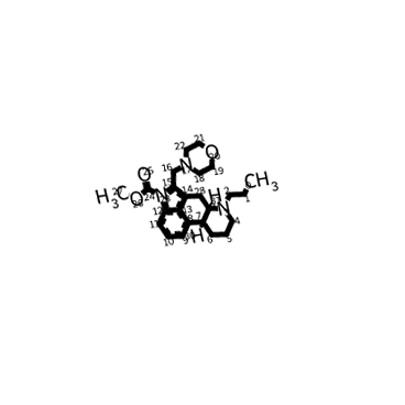 CCCN1CCC[C@@H]2c3cccc4c3c(c(CN3CCOCC3)n4C(=O)OC)C[C@H]21